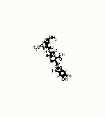 CON=C(C(=O)N[C@@H]1C(=O)N2C(C(=O)O)=C(CSc3nc4cc(O)c(O)cc4[nH]3)CS[C@@H]12)c1csc(N)n1